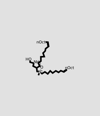 CCCCCCCC/C=C\CCCCCCCC[N+](C)(C)CC(CC(N)CO)C(=O)CCCCCCC/C=C\CCCCCCCC